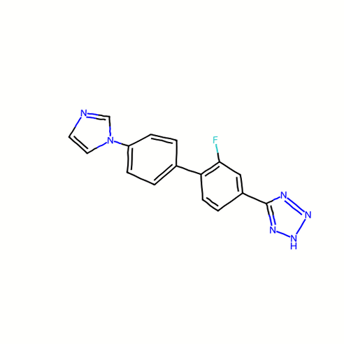 Fc1cc(-c2nn[nH]n2)ccc1-c1ccc(-n2ccnc2)cc1